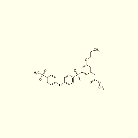 CCCOc1cc(CC(=O)OC)cc(S(=O)(=O)c2ccc(Oc3ccc(S(C)(=O)=O)cc3)cc2)c1